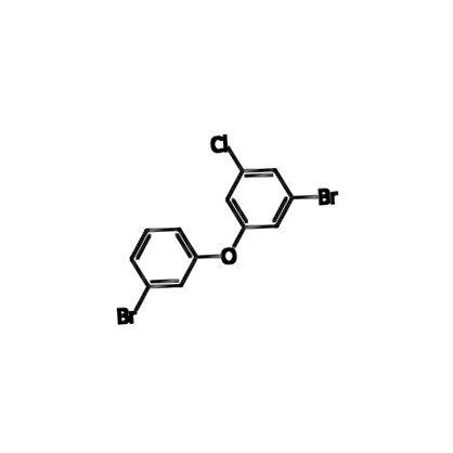 Clc1cc(Br)cc(Oc2cccc(Br)c2)c1